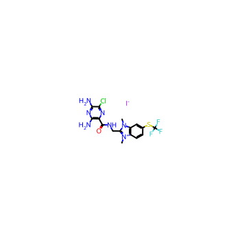 Cn1c(CNC(=O)c2nc(Cl)c(N)nc2N)[n+](C)c2ccc(SC(F)(F)F)cc21.[I-]